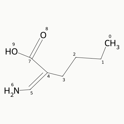 CCCCC(=CN)C(=O)O